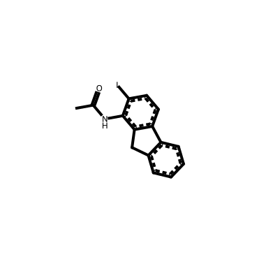 CC(=O)Nc1c(I)ccc2c1Cc1ccccc1-2